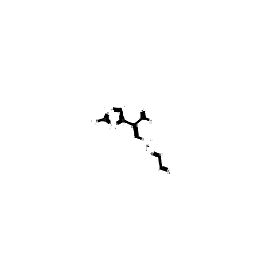 Nc1nc(C(=CON=C[C]=O)C(=O)O)cs1